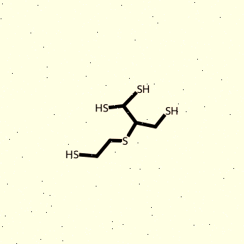 SCCSC(CS)C(S)S